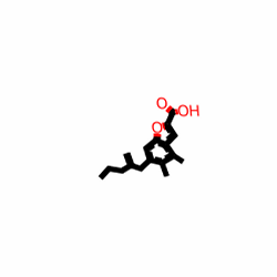 C=C(CCC)Cc1cc2oc(C(=O)O)cc2c(C)c1C